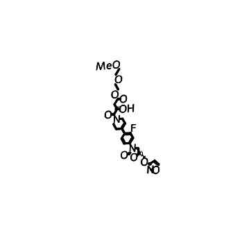 COCCOCCOC(=O)C[C@@H](O)C(=O)N1CC=C(c2ccc(N3C[C@H](COc4ccon4)OC3=O)cc2F)CC1